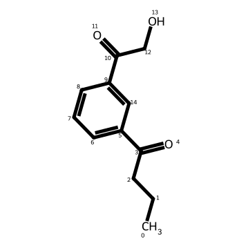 CCCC(=O)c1cccc(C(=O)CO)c1